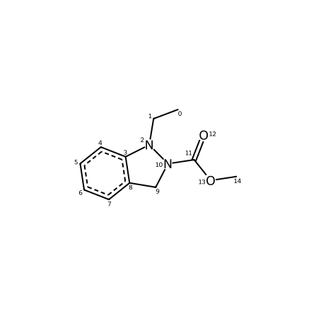 CCN1c2ccccc2CN1C(=O)OC